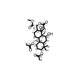 COC(=O)[C@@H]1OC(=O)CC2(O)[C@@]1(C)CCC1[C@]3(C)C(C[C@H](O)[C@]12C)C(C)(C)[C@H](OC(C)=O)C[C@@H]3OC(C)=O